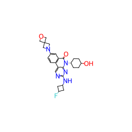 O=c1c2cc(N3CC4(COC4)C3)ccc2c2cnc(NC3CC(F)C3)nc2n1[C@H]1CC[C@H](O)CC1